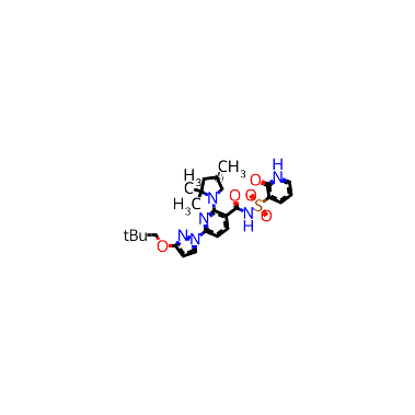 C[C@@H]1CN(c2nc(-n3ccc(OCC(C)(C)C)n3)ccc2C(=O)NS(=O)(=O)c2ccc[nH]c2=O)C(C)(C)C1